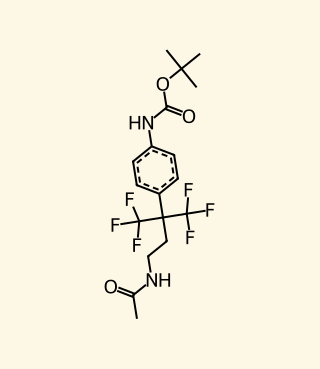 CC(=O)NCCC(c1ccc(NC(=O)OC(C)(C)C)cc1)(C(F)(F)F)C(F)(F)F